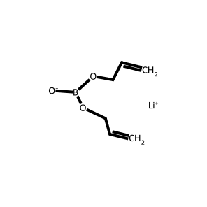 C=CCOB([O-])OCC=C.[Li+]